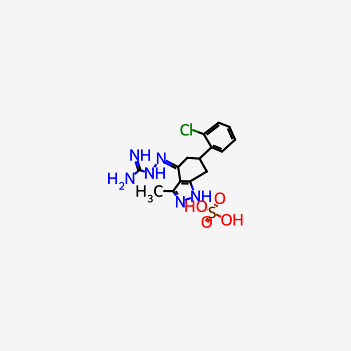 Cc1n[nH]c2c1/C(=N\NC(=N)N)CC(c1ccccc1Cl)C2.O=S(=O)(O)O